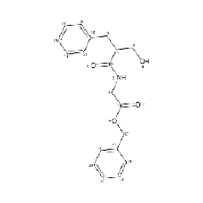 O=C(CNC(=O)C(CO)Cc1ccccc1)OCc1ccccc1